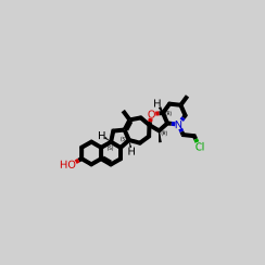 CC1=C2C[C@@H]3C4CCC(O)CC4=CCC3[C@@H]2CCC2(C1)O[C@@H]1CC(C)CN(CCCl)C1[C@H]2C